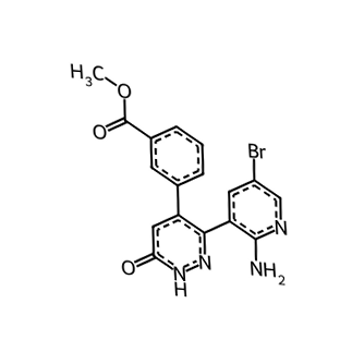 COC(=O)c1cccc(-c2cc(=O)[nH]nc2-c2cc(Br)cnc2N)c1